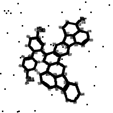 CC(C)(C)C1=CC(C2CC3C(CC4C5=C(CCCC5)C5C=CCC3C54)C3=C2CC2C(C3)C3C=CCC4C(Br)CCC2C34)C(C2=CCC(C(C)(C)C)CC2)CC1